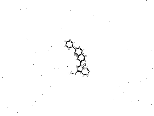 CCOC1=C2C=NC=C[N+]2(Cl)C(c2ccc3ccc(-c4ccccc4)nc3c2)=N1